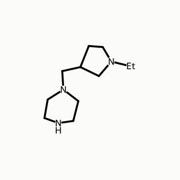 CCN1CCC(CN2CCNCC2)C1